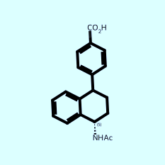 CC(=O)N[C@H]1CCC(c2ccc(C(=O)O)cc2)c2ccccc21